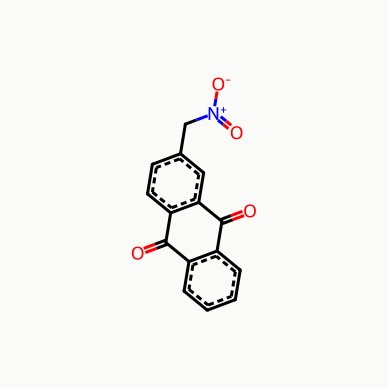 O=C1c2ccccc2C(=O)c2cc(C[N+](=O)[O-])ccc21